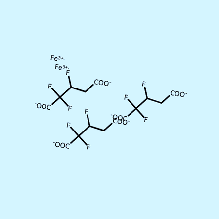 O=C([O-])CC(F)C(F)(F)C(=O)[O-].O=C([O-])CC(F)C(F)(F)C(=O)[O-].O=C([O-])CC(F)C(F)(F)C(=O)[O-].[Fe+3].[Fe+3]